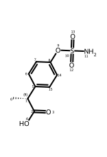 C[C@@H](C(=O)O)c1ccc(OS(N)(=O)=O)cc1